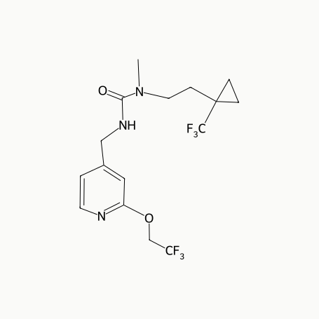 CN(CCC1(C(F)(F)F)CC1)C(=O)NCc1ccnc(OCC(F)(F)F)c1